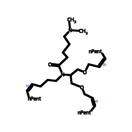 CCCCC/C=C\CCCN(C(=O)CCCCN(C)C)C(COC/C=C\CCCCC)COC/C=C\CCCCC